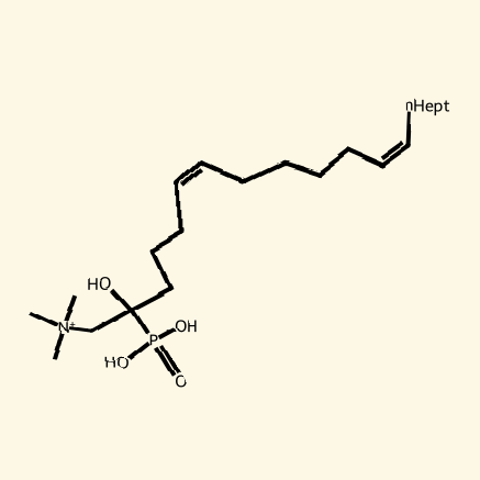 CCCCCCC/C=C\CCCC/C=C\CCCC(O)(C[N+](C)(C)C)P(=O)(O)O